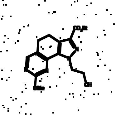 CCOC(=O)c1nn(CCO)c2c1CCc1cnc(OC)nc1-2